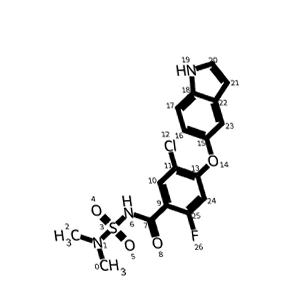 CN(C)S(=O)(=O)NC(=O)c1cc(Cl)c(Oc2ccc3[nH]ccc3c2)cc1F